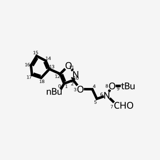 CCCCc1c(OCCN(C=O)OC(C)(C)C)noc1-c1ccccc1